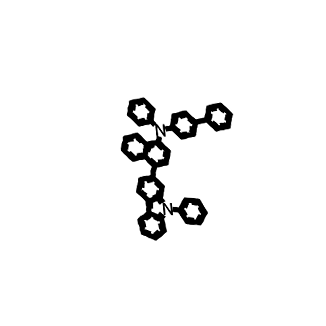 c1ccc(-c2ccc(N(c3ccccc3)c3ccc(-c4ccc5c6ccccc6n(-c6ccccc6)c5c4)c4ccccc34)cc2)cc1